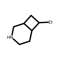 CCC1CC2CNCCC12